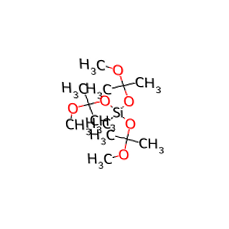 COC(C)(C)O[Si](C)(OC(C)(C)OC)OC(C)(C)OC